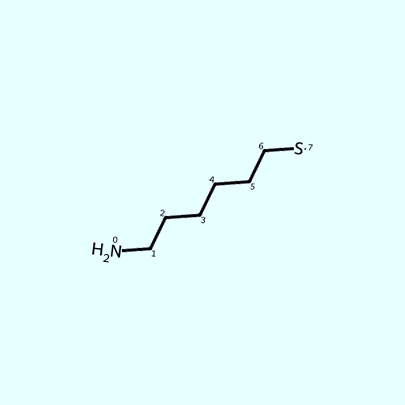 NCCCCCC[S]